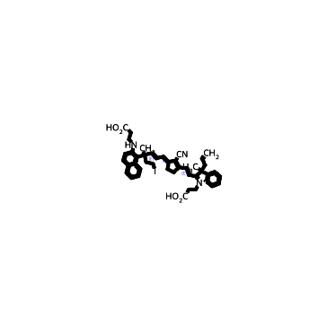 C=CCC1(C)C(/C=C/C2=C(C#N)C(=C/C=C/C(C)(CCI)c3c(NCCC(=O)O)ccc4ccccc34)/CC2)=[N+](CCC(=O)O)c2ccccc21